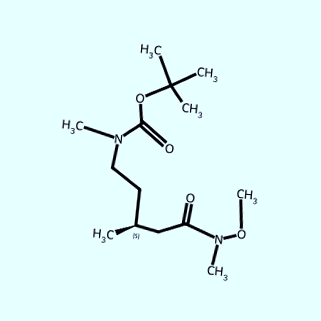 CON(C)C(=O)C[C@@H](C)CCN(C)C(=O)OC(C)(C)C